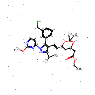 CCOC(=O)C[C@H]1C[C@@H](/C=C/c2c(C(C)C)nn(-c3ccnc(OC)n3)c2-c2cccc(CF)c2)OC(C)(C)O1